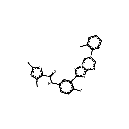 Cc1nc(C)c(C(=O)Nc2ccc(F)c(-c3nc4ncc(-c5ncccc5C)cn4n3)c2)o1